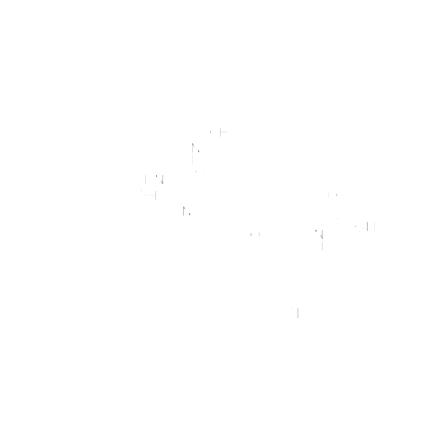 CNCC(CC1CCCCC1O)NC(=O)N1CCCC(C(OCCNC(=O)O)c2cccc(Cl)c2)C1